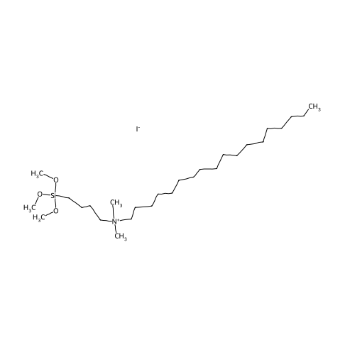 CCCCCCCCCCCCCCCCCC[N+](C)(C)CCCC[Si](OC)(OC)OC.[I-]